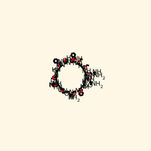 CCCC[C@H]1C(=O)N(C)[C@@H](CCCC)C(=O)N[C@@H](CCCNC(=N)N)C(=O)N[C@H](C(=O)NCC(N)=O)CCC(=O)N[C@@H](Cc2ccccc2)C(=O)N(C)[C@@H](C)C(=O)N[C@@H](CC(N)=O)C(=O)N2CCC[C@H]2C(=O)N[C@@H](Cc2cnc[nH]2)C(O)N[C@@H](CC(C)C)C(=O)N(C)CC(=O)N[C@@H](Cc2c[nH]c3ccccc23)C(=O)N[C@@H](CO)C(=O)N[C@@H](Cc2c[nH]c3ccccc23)C(=O)N1C